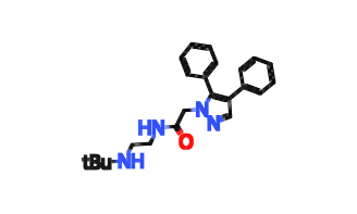 CC(C)(C)NCCNC(=O)Cn1ncc(-c2ccccc2)c1-c1ccccc1